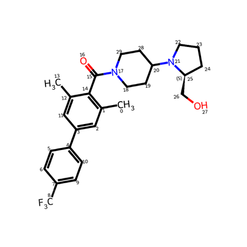 Cc1cc(-c2ccc(C(F)(F)F)cc2)cc(C)c1C(=O)N1CCC(N2CCC[C@H]2CO)CC1